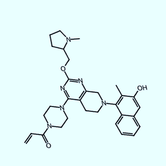 C=CC(=O)N1CCN(c2nc(OCC3CCCN3C)nc3c2CCN(c2c(C)c(O)cc4ccccc24)C3)CC1